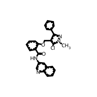 Cn1nc(-c2ccccc2)c(COc2ccccc2C(=O)Nc2cnc3ccccc3c2)c1Cl